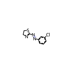 Clc1cccc(/N=N/C2=NCCS2)c1